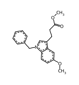 COC(=O)CCc1cn(Cc2ccccc2)c2ccc(OC)cc12